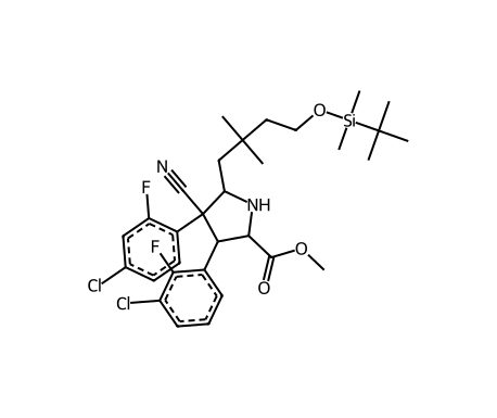 COC(=O)C1NC(CC(C)(C)CCO[Si](C)(C)C(C)(C)C)C(C#N)(c2ccc(Cl)cc2F)C1c1cccc(Cl)c1F